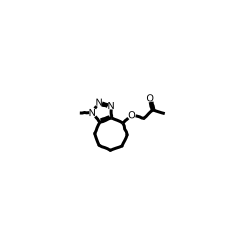 CC(=O)COC1CCCCCc2c1nnn2C